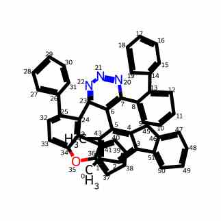 Cc1cc2c(c(-c3c(-c4ccccc4-c4ccccc4)nnnc3-c3c(-c4ccccc4)ccc4oc5ccccc5c34)c1C)Cc1ccccc1-2